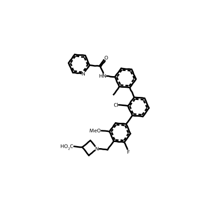 COc1cc(-c2cccc(-c3cccc(NC(=O)c4ccccn4)c3C)c2Cl)cc(F)c1CN1CC(C(=O)O)C1